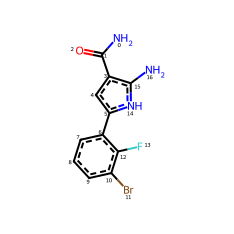 NC(=O)c1cc(-c2cccc(Br)c2F)[nH]c1N